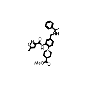 COC(=O)C1CCN(c2ccc(CN[C@H](C)c3ccccc3)cc2NC(=O)c2cc(C)on2)CC1